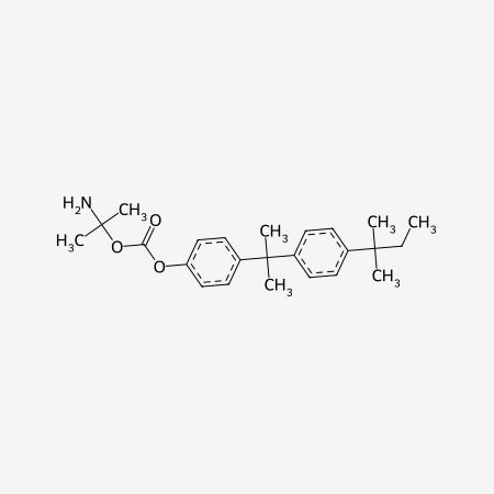 CCC(C)(C)c1ccc(C(C)(C)c2ccc(OC(=O)OC(C)(C)N)cc2)cc1